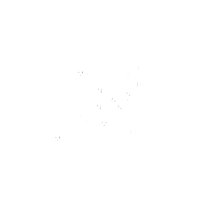 COc1ccc(CNc2nc3c(OC)ccc(B(O)O)c3c3nc(CO[Si](C)(C)C(C)(C)C)nn23)c(OC)c1